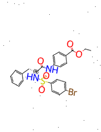 CCOC(=O)c1ccc(NC(=O)[C@@H](Cc2ccccc2)NS(=O)(=O)c2ccc(Br)cc2)cc1